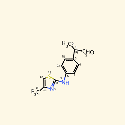 C[C@@H](C=O)c1ccc(Nc2nc(C(F)(F)F)cs2)cc1